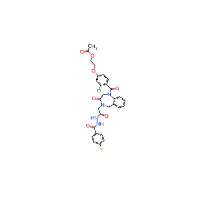 CC(=O)OCCOc1ccc(C(=O)N2CC(=O)N(CC(=O)NNC(=O)c3ccc(F)cc3)Cc3ccccc32)c(Cl)c1